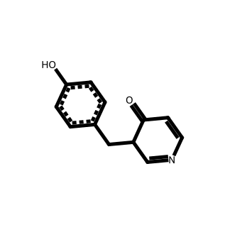 O=C1C=CN=CC1Cc1ccc(O)cc1